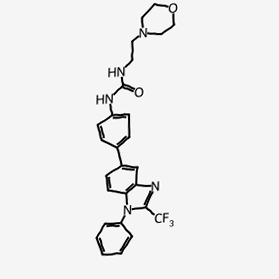 O=C(NCCN1CCOCC1)Nc1ccc(-c2ccc3c(c2)nc(C(F)(F)F)n3-c2ccccc2)cc1